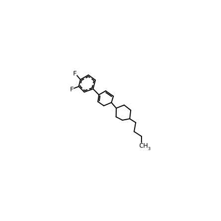 CCCCC1CCC(C2C=CC(c3ccc(F)c(F)c3)=CC2)CC1